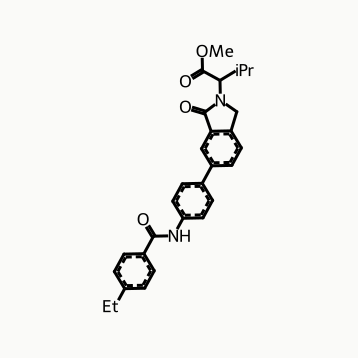 CCc1ccc(C(=O)Nc2ccc(-c3ccc4c(c3)C(=O)N(C(C(=O)OC)C(C)C)C4)cc2)cc1